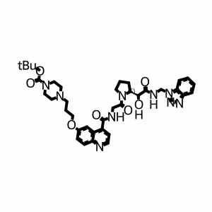 CC(C)(C)OC(=O)N1CCN(CCCOc2ccc3nccc(C(=O)NCC(=O)N4CCC[C@H]4C(O)C(=O)NCn4nnc5ccccc54)c3c2)CC1